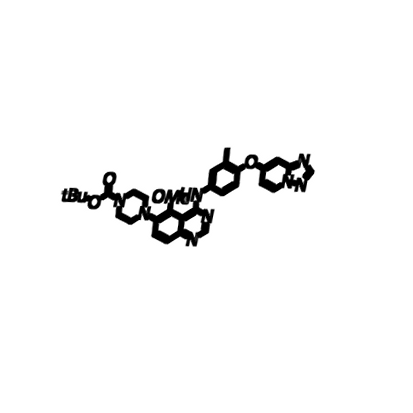 COc1c(N2CCN(C(=O)OC(C)(C)C)CC2)ccc2ncnc(Nc3ccc(Oc4ccn5ncnc5c4)c(C)c3)c12